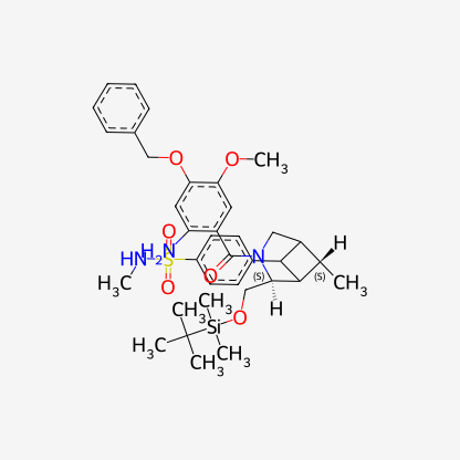 CNS(=O)(=O)c1ccc(C2C3CN(C(=O)c4cc(OC)c(OCc5ccccc5)cc4N)[C@H](CO[Si](C)(C)C(C)(C)C)C2[C@H]3C)cc1